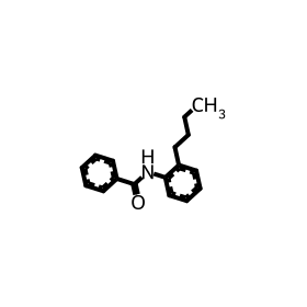 CCCCc1ccccc1NC(=O)c1ccccc1